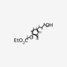 CCOC(=O)COc1ccc(CCCO)cc1I